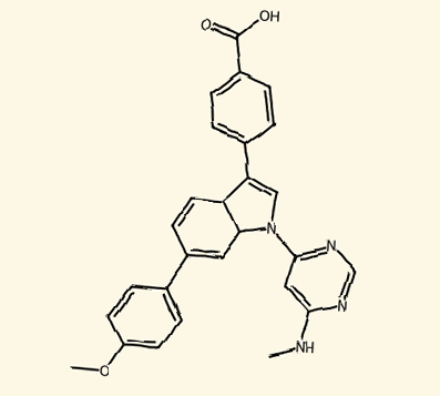 CNc1cc(N2C=C(c3ccc(C(=O)O)cc3)C3C=CC(c4ccc(OC)cc4)=CC32)ncn1